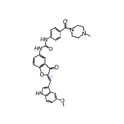 COc1ccc2[nH]cc(/C=C3\Oc4ccc(NC(=O)Nc5ccc(C(=O)N6CCN(C)CC6)cc5)cc4C3=O)c2c1